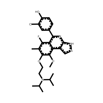 COc1c(OCCN(C(C)C)C(C)C)c(C)c(F)c2c(-c3ccc(O)c(Cl)c3)nc3[nH]ncc3c12